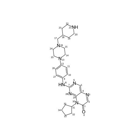 O=c1cnc2cnc(Nc3ccc(N4CCN(CC5CCNCC5)CC4)cc3)nc2n1C1CCCC1